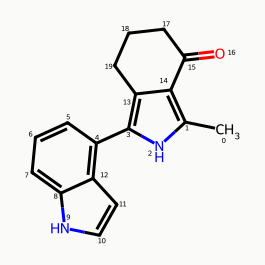 Cc1[nH]c(-c2cccc3[nH]ccc23)c2c1C(=O)CCC2